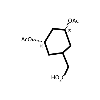 CC(=O)O[C@@H]1CC(CC(=O)O)C[C@H](OC(C)=O)C1